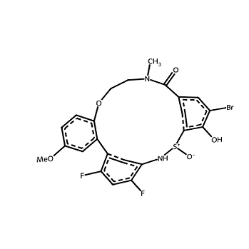 COc1ccc2c(c1)-c1cc(c(F)cc1F)N[S+]([O-])c1cc(cc(Br)c1O)C(=O)N(C)CCO2